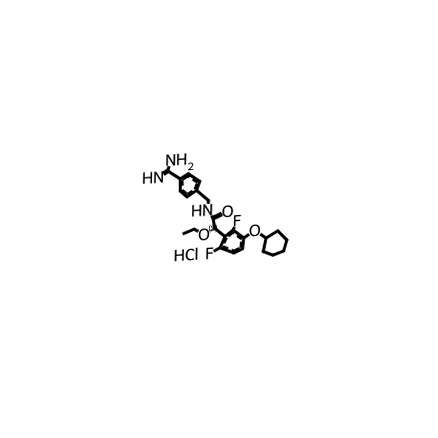 CCO[C@H](C(=O)NCc1ccc(C(=N)N)cc1)c1c(F)ccc(OC2CCCCC2)c1F.Cl